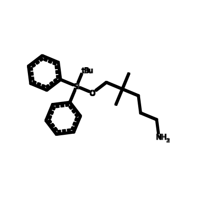 CC(C)(CCCN)CO[Si](c1ccccc1)(c1ccccc1)C(C)(C)C